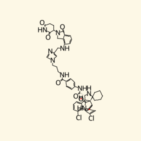 O=C1CCC(N2Cc3c(NCc4cn(CCCNC(=O)c5ccc(NC(=O)[C@@H]6NC7(CCCCC7)[C@]78C(=O)Nc9cc(Cl)c(cc97)-c7c(Cl)cccc7[C@@H]68)cc5)cn4)cccc3C2=O)C(=O)N1